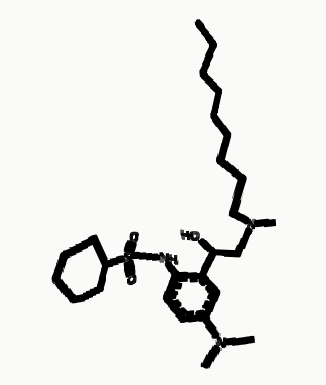 CCCCCCCCCN(C)CC(O)c1cc(N(C)C)ccc1NS(=O)(=O)C1CCCCC1